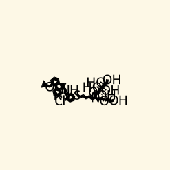 O=C([C@@H](O)[C@@H](O)[C@H](O)[C@@H](O)CO)N(CCCCCSc1ccc(Cl)c(CNC2(c3cnccc3-c3ccccc3OC3CC3)CC2)c1)CCOCCO